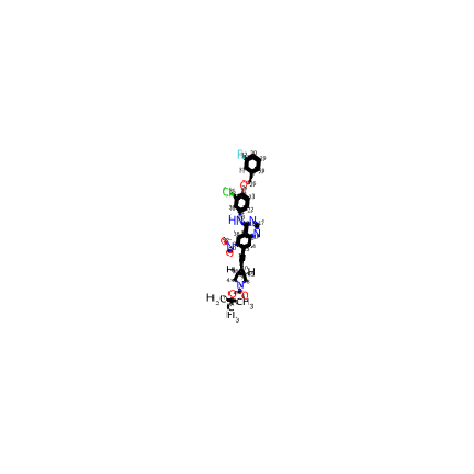 CC(C)(C)OC(=O)N1C[C@@H]2C(C#Cc3cc4ncnc(Nc5ccc(OCc6cccc(F)c6)c(Cl)c5)c4cc3[N+](=O)[O-])[C@@H]2C1